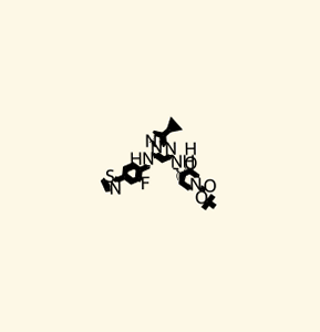 CC(C)(C)OC(=O)N1CC[C@H](CNc2cc(NCc3ccc(-c4nccs4)cc3F)n3ncc(C4CC4)c3n2)[C@@H](O)C1